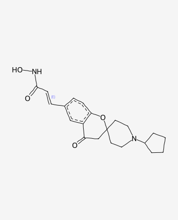 O=C(/C=C/c1ccc2c(c1)C(=O)CC1(CCN(C3CCCC3)CC1)O2)NO